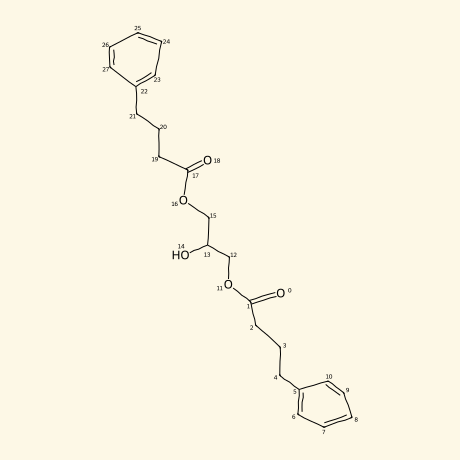 O=C(CCCc1ccccc1)OCC(O)COC(=O)CCCc1ccccc1